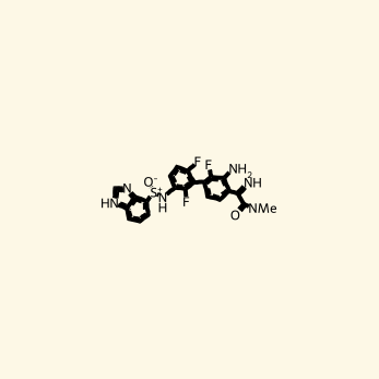 CNC(=O)C(=N)c1ccc(-c2c(F)ccc(N[S+]([O-])c3cccc4[nH]cnc34)c2F)c(F)c1N